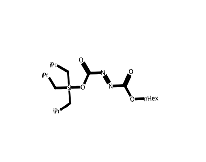 CCCCCCOC(=O)N=NC(=O)O[Si](CC(C)C)(CC(C)C)CC(C)C